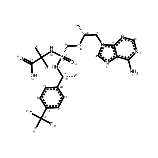 C[C@H](Cn1cnc2c(N)ncnc21)OC[P@](=O)(N[C@H](C)c1ccc(C(F)(F)F)cc1)NC(C)(C)C(=O)O